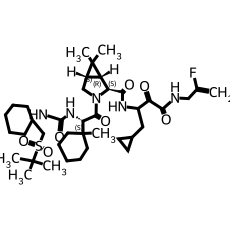 C=C(F)CNC(=O)C(=O)C(CC1CC1)NC(=O)[C@@H]1[C@@H]2[C@H](CN1C(=O)[C@@H](NC(=O)NC1(CS(=O)(=O)C(C)(C)C)CCCCC1)C1(C)CCCCC1)C2(C)C